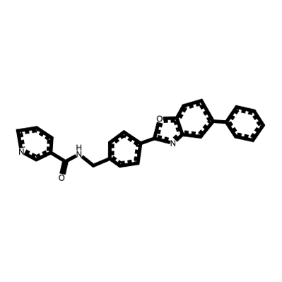 O=C(NCc1ccc(-c2nc3cc(-c4ccccc4)ccc3o2)cc1)c1cccnc1